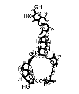 C=C1C[C@@H]2CC[C@]34C[C@@H](O)C(O3)[C@H]3C[C@@H](O4)[C@H]4O[C@H](CC[C@@H]4O3)CC(=O)O[C@H]3C(CC4O[C@@H](CCC1O2)C[C@@H](C)C4=C)O[C@H]1C[C@H]2O[C@@]4(CC5O[C@]6(C[C@H](C)C7OC(CO)C(O)CC7O6)C[C@H](C)C5O4)C[C@H]2O[C@H]1[C@@H]3C